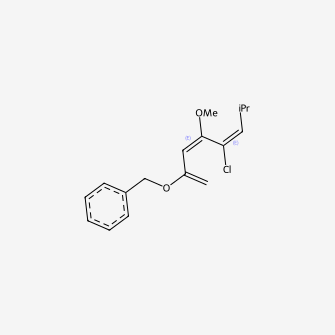 C=C(/C=C(OC)\C(Cl)=C/C(C)C)OCc1ccccc1